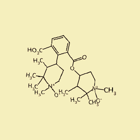 CC1C(OC(=O)c2cccc(C(=O)O)c2C2CC[N+](C)([O-])C(C)(C)C2C)CC[N+](C)([O-])C1(C)C